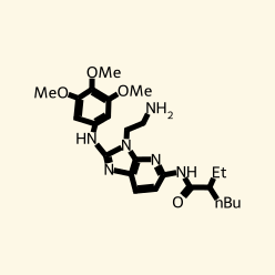 CCCCC(CC)C(=O)Nc1ccc2nc(Nc3cc(OC)c(OC)c(OC)c3)n(CCN)c2n1